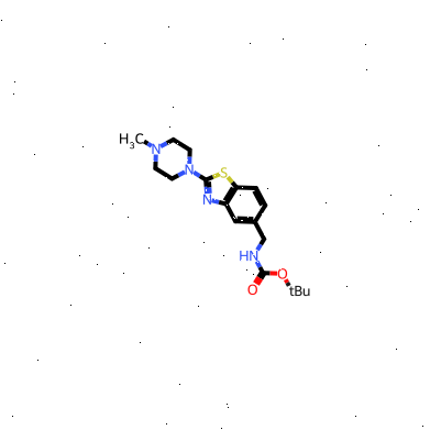 CN1CCN(c2nc3cc(CNC(=O)OC(C)(C)C)ccc3s2)CC1